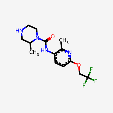 Cc1nc(OCC(F)(F)F)ccc1NC(=O)N1CCNCC1C